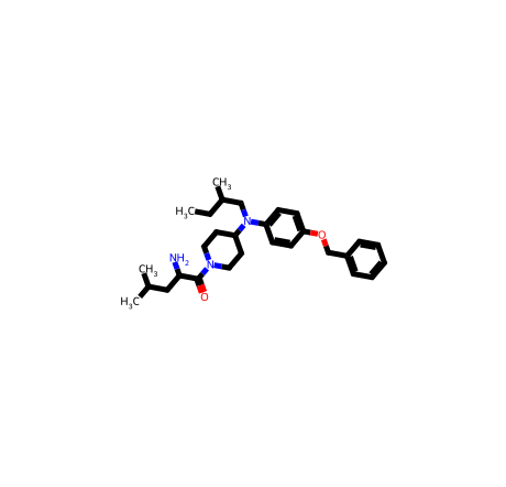 CCC(C)CN(c1ccc(OCc2ccccc2)cc1)C1CCN(C(=O)C(N)CC(C)C)CC1